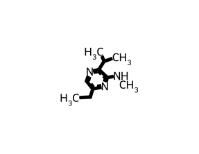 CCc1cnc(C(C)C)c(NC)n1